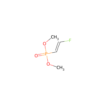 COP(=O)(C=CF)OC